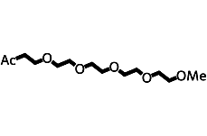 COCCOCCOCCOCCOCCC(C)=O